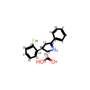 O=C(O)[C@H]1N=C(c2ccccc2)C[C@@H]1c1ccccc1F